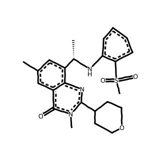 Cc1cc([C@H](C)Nc2ccccc2S(C)(=O)=O)c2nc(C3CCOCC3)n(C)c(=O)c2c1